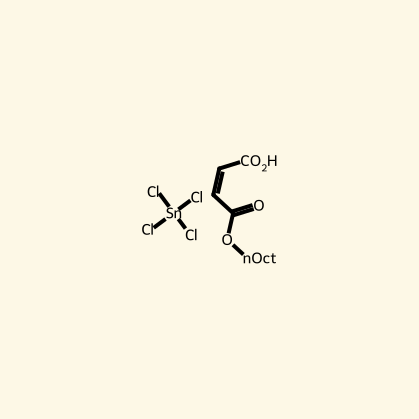 CCCCCCCCOC(=O)/C=C\C(=O)O.[Cl][Sn]([Cl])([Cl])[Cl]